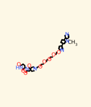 Cn1c2ccncc2c2ccc(-c3ccc(OCCOCCOCCOCCOCCN4CCC5(CC4)CC(=O)N(C4CCC(=O)NC4=O)C5=O)nc3)cc21